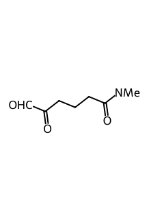 CNC(=O)CCCC(=O)C=O